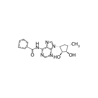 C[C@H]1C[C@@H](n2cnc3c(NC(=O)c4ccccc4)ncnc32)[C@H](O)[C@@H]1O